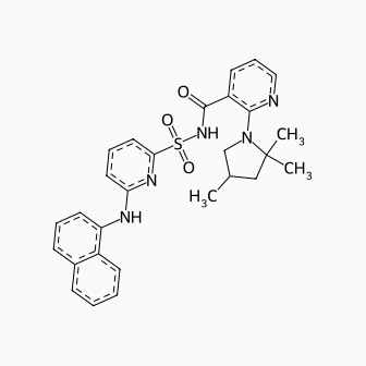 CC1CN(c2ncccc2C(=O)NS(=O)(=O)c2cccc(Nc3cccc4ccccc34)n2)C(C)(C)C1